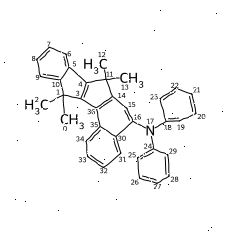 CC1(C)C2=C(c3ccccc31)C(C)(C)c1cc(N(c3ccccc3)c3ccccc3)c3ccccc3c12